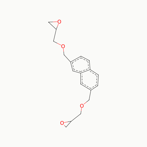 c1cc2ccc(COCC3CO3)cc2cc1COCC1CO1